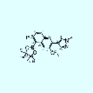 Cn1cc(-c2nc3ccc(F)c(B4OC(C)(C)C(C)(C)O4)c3cc2C(F)(F)F)cn1